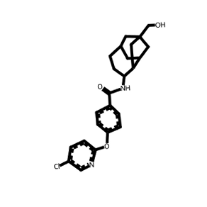 O=C(NC1CCC2CC3CC(CO)(C2)CC31)c1ccc(Oc2ccc(Cl)cn2)cc1